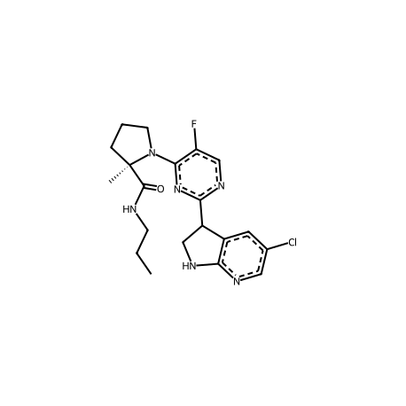 CCCNC(=O)[C@@]1(C)CCCN1c1nc(C2CNc3ncc(Cl)cc32)ncc1F